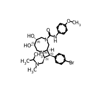 COc1ccc(NC(=O)N2C[C@@H](O)[C@@H](O)CN3[C@H](CN(C)C(C)C)[C@H](c4ccc(Br)cc4)[C@@H]3C2)cc1